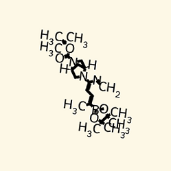 C=N/C(=C\C=C(/C)B1OC(C)(C)C(C)(C)O1)N1C[C@@H]2C[C@H]1CN2C(=O)OC(C)(C)C